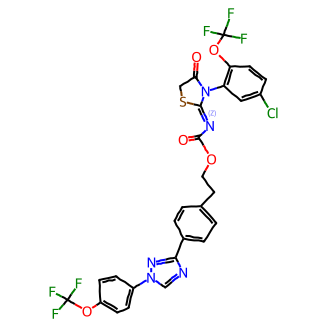 O=C(/N=C1\SCC(=O)N1c1cc(Cl)ccc1OC(F)(F)F)OCCc1ccc(-c2ncn(-c3ccc(OC(F)(F)F)cc3)n2)cc1